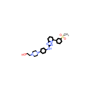 CS(=O)(=O)c1cccc(-c2cccc3nc(Nc4ccc(N5CCN(CCO)CC5)cc4)nn23)c1